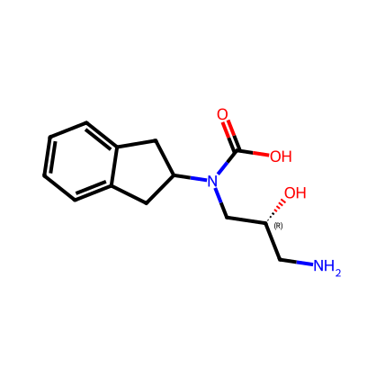 NC[C@@H](O)CN(C(=O)O)C1Cc2ccccc2C1